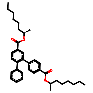 CCCCCC[C@H](C)OC(=O)c1ccc(-c2cc(C(=O)O[C@@H](C)CCCCCC)ccc2-c2ccccc2)cc1